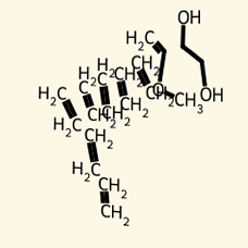 C=C.C=C.C=C.C=C.C=C.C=C.C=C.C=COC.OCCO